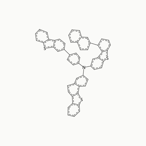 c1ccc2cc(-c3cccc4sc5ccc(N(c6ccc(-c7ccc8c(c7)sc7ccccc78)cc6)c6ccc7c(ccc8c9ccccc9sc78)c6)cc5c34)ccc2c1